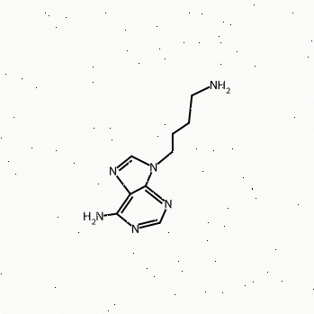 NCCCCn1cnc2c(N)ncnc21